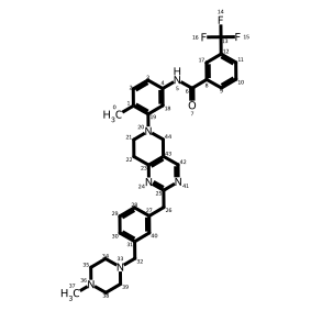 Cc1ccc(NC(=O)c2cccc(C(F)(F)F)c2)cc1N1CCc2nc(Cc3cccc(CN4CCN(C)CC4)c3)ncc2C1